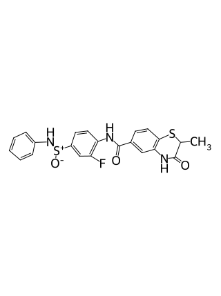 CC1Sc2ccc(C(=O)Nc3ccc([S+]([O-])Nc4ccccc4)cc3F)cc2NC1=O